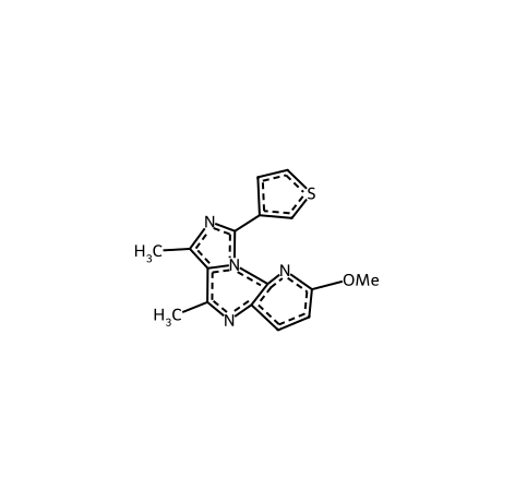 COc1ccc2nc(C)c3c(C)nc(-c4ccsc4)n3c2n1